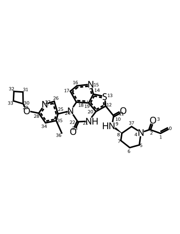 C=CC(=O)N1CCC[C@@H](NC(=O)c2sc3nccc4c3c2NC(=O)N4c2cnc(OC3CCC3)cc2C)C1